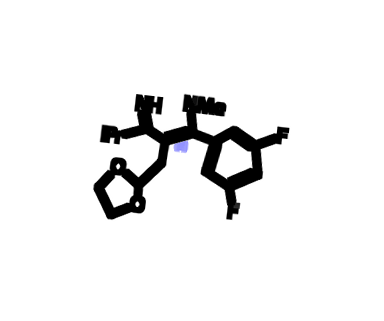 CN/C(=C(/CC1OCCO1)C(=N)C(C)C)c1cc(F)cc(F)c1